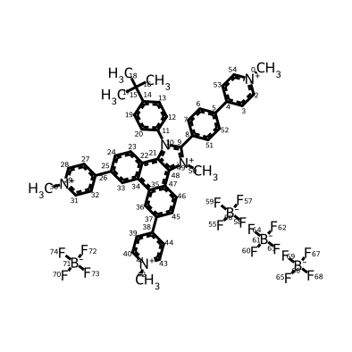 C[n+]1ccc(-c2ccc(-c3n(-c4ccc(C(C)(C)C)cc4)c4c5ccc(-c6cc[n+](C)cc6)cc5c5cc(-c6cc[n+](C)cc6)ccc5c4[n+]3C)cc2)cc1.F[B-](F)(F)F.F[B-](F)(F)F.F[B-](F)(F)F.F[B-](F)(F)F